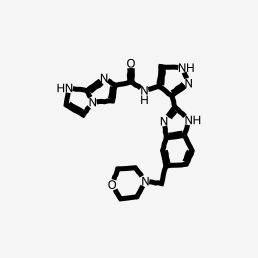 O=C(Nc1c[nH]nc1-c1nc2cc(CN3CCOCC3)ccc2[nH]1)c1cn2cc[nH]c2n1